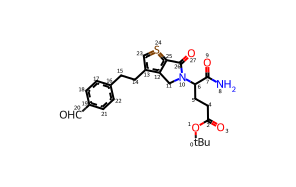 CC(C)(C)OC(=O)CCC(C(N)=O)N1Cc2c(CCc3ccc(C=O)cc3)csc2C1=O